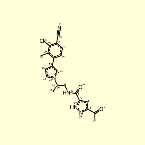 CC(=O)c1cc(C(=O)NC[C@@H](C)n2ccc(-c3ccc(C#N)c(Cl)c3C)n2)[nH]n1